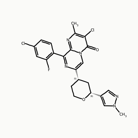 Cc1nc2c(-c3ccc(Cl)cc3F)nc([C@H]3CCO[C@@H](c4cnn(C)c4)C3)cn2c(=O)c1Cl